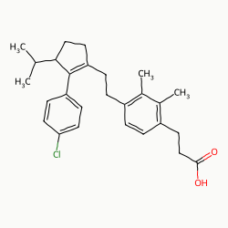 Cc1c(CCC(=O)O)ccc(CCC2=C(c3ccc(Cl)cc3)C(C(C)C)CC2)c1C